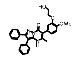 COc1ccc(-c2c(C)[nH]c3c(-c4ccccc4)c(-c4ccccc4)nn3c2=O)cc1OCCO